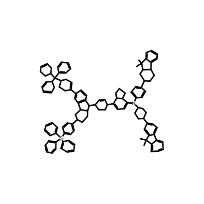 CC1(C)c2ccccc2-c2ccc(C3CCC(N(C4=CC=C(C5C=CC(C6c7ccc(C8=CCC(C(c9ccccc9)(C9C=CC=CC9)C9CC=CCC9)CC8)cc7C7CC(c8ccc([Si](c9ccccc9)(c9ccccc9)c9ccccc9)cc8)CCC76)CC5)C5CCCC45)c4ccc(C5CCC6c7ccccc7C(C)(C)C6C5)cc4)CC3)cc21